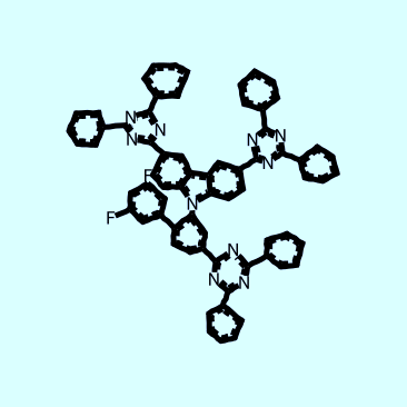 Fc1cc(F)cc(-c2ccc(-c3nc(-c4ccccc4)nc(-c4ccccc4)n3)cc2-n2c3ccc(-c4nc(-c5ccccc5)nc(-c5ccccc5)n4)cc3c3cc(-c4nc(-c5ccccc5)nc(-c5ccccc5)n4)ccc32)c1